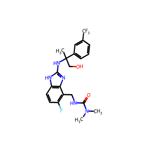 CN(C)C(=O)NCc1c(F)ccc2[nH]c(NC(C)(CO)c3cccc(C(F)(F)F)c3)nc12